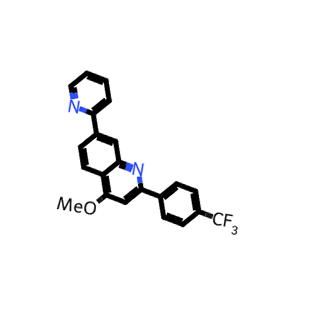 COc1cc(-c2ccc(C(F)(F)F)cc2)nc2cc(-c3ccccn3)ccc12